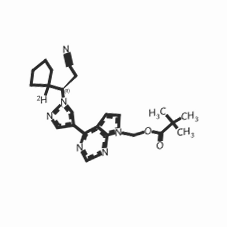 [2H]C1([C@@H](CC#N)n2cc(-c3ncnc4c3ccn4COC(=O)C(C)(C)C)cn2)CCCC1